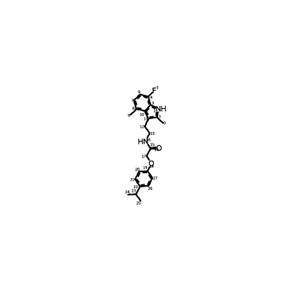 Cc1[nH]c2c(F)ccc(C)c2c1CCNC(=O)COc1ccc(C(C)C)cc1